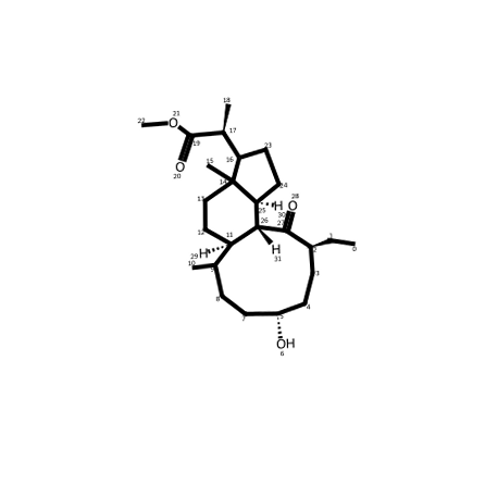 CC[C@H]1CC[C@H](O)CCC(C)[C@H]2CCC3(C)C([C@H](C)C(=O)OC)CC[C@H]3[C@@H]2C1=O